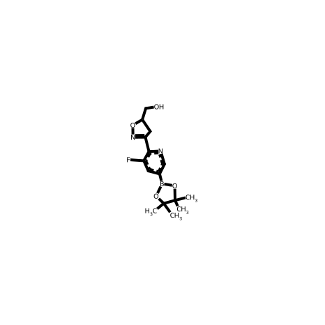 CC1(C)OB(c2cnc(C3=NOC(CO)C3)c(F)c2)OC1(C)C